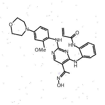 C=CC(=O)Nc1ccccc1Nc1nc(Nc2ccc(N3CCOCC3)cc2OC)ncc1/C(C)=N/O